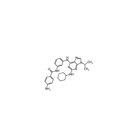 CC(C)n1cnc2c(Nc3cccc(NC(=O)c4ccc(N)cc4)c3)nc(NC3CCCCC3)nc21